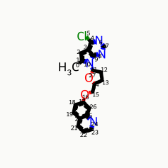 Cc1cc2c(Cl)ncnc2n1C1CCC(COc2ccc3cccnc3c2)O1